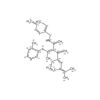 C=C/C=C\C(=C/C)CNC(=C)/C(C(=C)/C(=C/C(C)=C(C)C)CC)=C(/C)Sc1ccccc1C